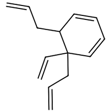 C=CCC1C=CC=CC1(C=C)CC=C